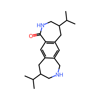 CC(C)C1CNCc2cc3c(cc2C1)C(=O)NCC(C(C)C)C3